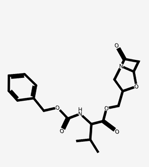 CC(C)C(NC(=O)OCc1ccccc1)C(=O)OCC1CN2C(=O)CC2O1